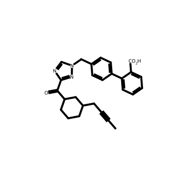 CC#CCC1CCCC(C(=O)c2ncn(Cc3ccc(-c4ccccc4C(=O)O)cc3)n2)C1